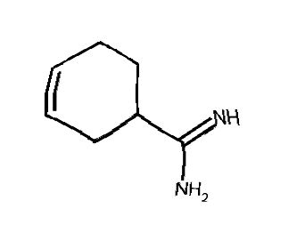 N=C(N)C1CC=CCC1